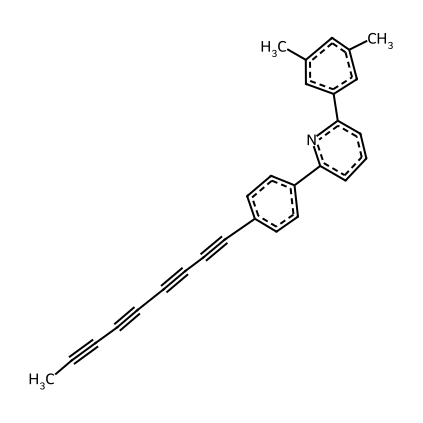 CC#CC#CC#CC#Cc1ccc(-c2cccc(-c3cc(C)cc(C)c3)n2)cc1